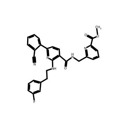 COC(=O)c1cccc(CNC(=O)c2ccc(-c3ccccc3C#N)nc2NCCc2cccc(F)c2)n1